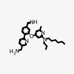 CCCCCCN(CCC)c1cc(Oc2cc(C=N)ccc2-c2ccc(CN)cn2)cc(C)n1